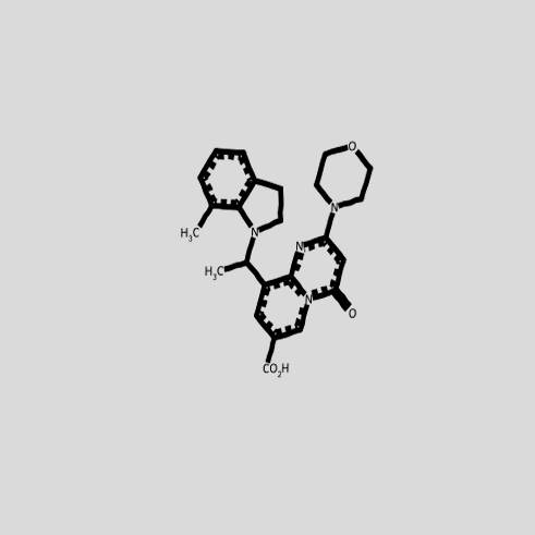 Cc1cccc2c1N(C(C)c1cc(C(=O)O)cn3c(=O)cc(N4CCOCC4)nc13)CC2